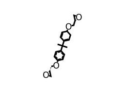 CC(C)(C1=CCC(OCC2CO2)C=C1)c1ccc(OC[C@@H]2CO2)cc1